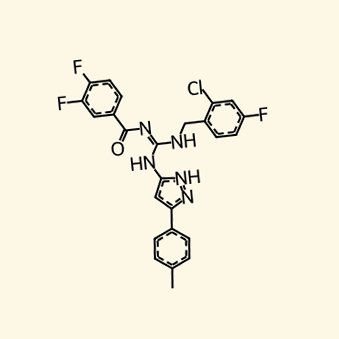 Cc1ccc(-c2cc(N/C(=N\C(=O)c3ccc(F)c(F)c3)NCc3ccc(F)cc3Cl)[nH]n2)cc1